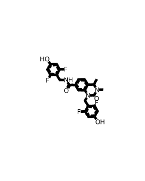 CC1c2ccc(C(=O)NCc3c(F)cc(O)cc3F)cc2N(Cc2c(F)cc(O)cc2F)C(=O)N1C